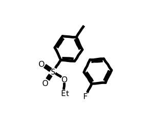 CCOS(=O)(=O)c1ccc(C)cc1.Fc1ccccc1